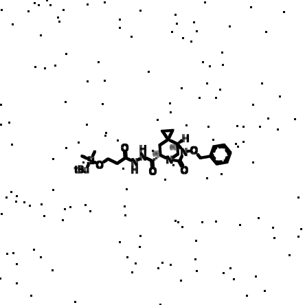 CC(C)(C)[Si](C)(C)OCCC(=O)NNC(=O)[C@@H]1CC2(CC2)[C@H]2CN1C(=O)N2OCc1ccccc1